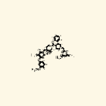 COc1cc(Oc2ncn(C[C@@]3(O)CCN(C(=O)[C@@H]4CCN(Cc5nc(C)cc(C)n5)C[C@H]4c4ccccc4)CC3(F)F)c(=O)c2N)ccc1F